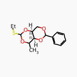 CCSC1OC(C)[C@@H]2OC(c3ccccc3)OC[C@@H]2O1